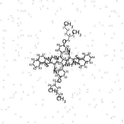 CCCCC(CC)COc1ccc(C2=c3c(c(-c4ccc(OCC(CC)CCCC)cc4)[nH]/c3=C(/C#N)c3nc4ccc5ccccc5c4s3)C(C(C#N)c3nc4ccc5ccccc5c4s3)N2)cc1